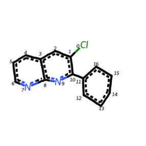 Clc1cc2cccnc2nc1-c1ccccc1